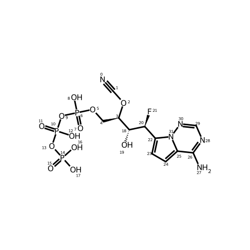 N#CO[C@H](COP(=O)(O)OP(=O)(O)OP(=O)(O)O)[C@@H](O)[C@@H](F)c1ccc2c(N)ncnn12